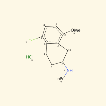 CCCNC1CCc2c(F)ccc(OC)c2C1.Cl